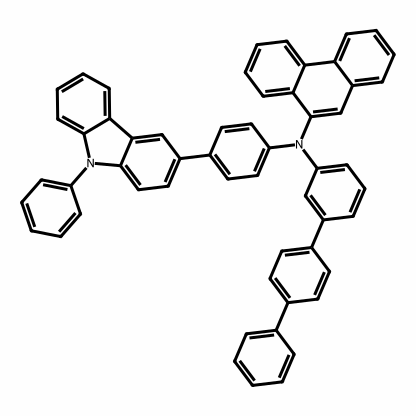 c1ccc(-c2ccc(-c3cccc(N(c4ccc(-c5ccc6c(c5)c5ccccc5n6-c5ccccc5)cc4)c4cc5ccccc5c5ccccc45)c3)cc2)cc1